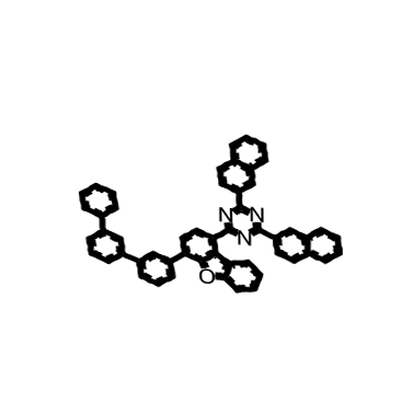 c1ccc(-c2cccc(-c3cccc(-c4ccc(-c5nc(-c6ccc7ccccc7c6)nc(-c6ccc7ccccc7c6)n5)c5c4oc4ccccc45)c3)c2)cc1